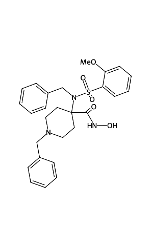 COc1ccccc1S(=O)(=O)N(Cc1ccccc1)C1(C(=O)NO)CCN(Cc2ccccc2)CC1